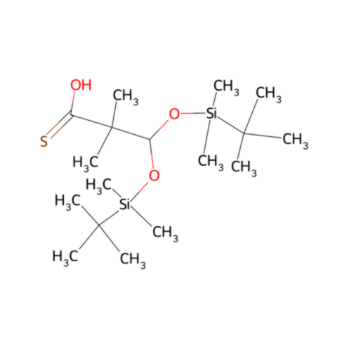 CC(C)(C(O)=S)C(O[Si](C)(C)C(C)(C)C)O[Si](C)(C)C(C)(C)C